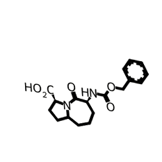 O=C(N[C@H]1CCCC2CC[C@@H](C(=O)O)N2C1=O)OCc1ccccc1